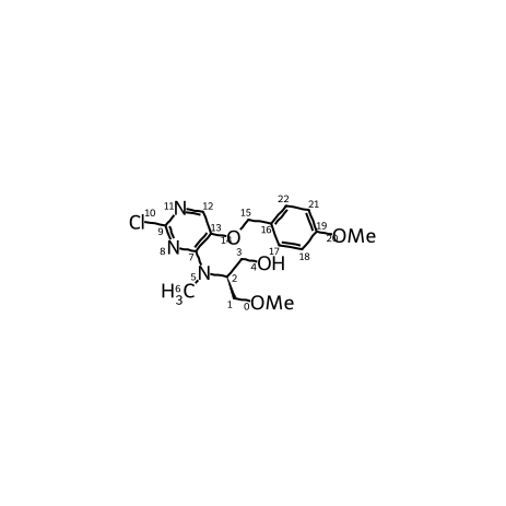 COC[C@H](CO)N(C)c1nc(Cl)ncc1OCc1ccc(OC)cc1